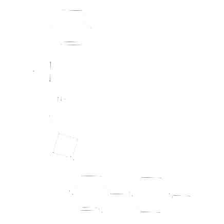 CN1CCN(c2cc(N3CC(CNC4CC4c4ccccc4)C3)ncn2)CC1